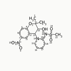 CC1(C)Oc2ccc([N+](=O)[O-])cc2C(n2ccccc2=NS(C)(=O)=O)C1O